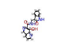 O=C(NCC1C(=O)Nc2ccccc21)c1ncc2cccnc2c1O